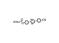 CCCCCCC(=O)Oc1ccc(-c2ncc(-c3ccc(C#N)cc3)cn2)cc1